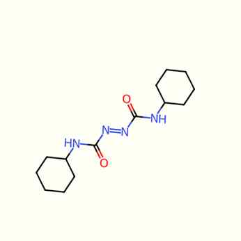 O=C(N=NC(=O)NC1CCCCC1)NC1CCCCC1